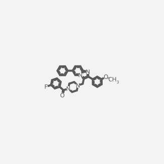 COc1cccc(-c2nc3ccc(-c4ccccc4)cn3c2CN2CCN(C(=O)c3cccc(F)c3)CC2)c1